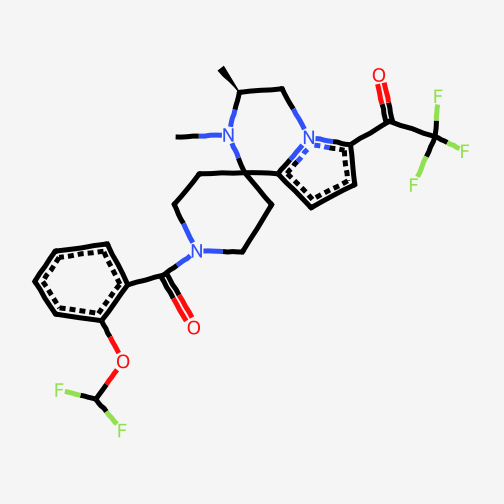 C[C@H]1Cn2c(C(=O)C(F)(F)F)ccc2C2(CCN(C(=O)c3ccccc3OC(F)F)CC2)N1C